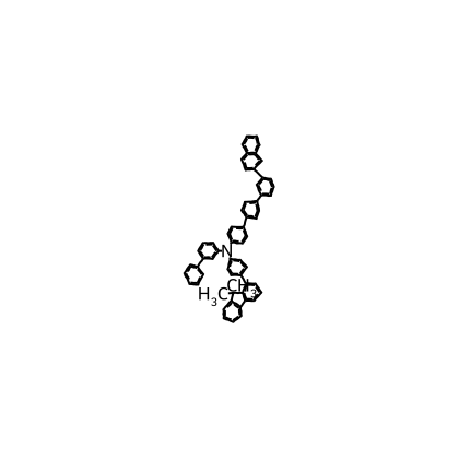 CC1(C)c2ccccc2-c2cccc(-c3ccc(N(c4ccc(-c5ccc(-c6cccc(-c7ccc8ccccc8c7)c6)cc5)cc4)c4cccc(-c5ccccc5)c4)cc3)c21